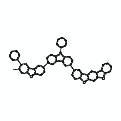 Cc1cc2oc3ccc(-c4ccc5c(c4)c4cc(-c6ccc7oc8cc9oc%10ccccc%10c9cc8c7c6)ccc4n5-c4ccccc4)cc3c2cc1-c1ccccc1